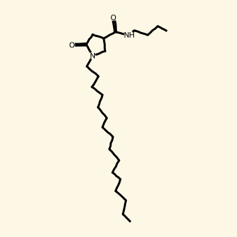 CCCCCCCCCCCCCCCCN1CC(C(=O)NCCCC)CC1=O